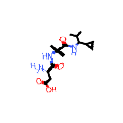 CC(C)C(NC(=O)C(C)(C)NC(=O)[C@@H](N)CC(=O)O)C1CC1